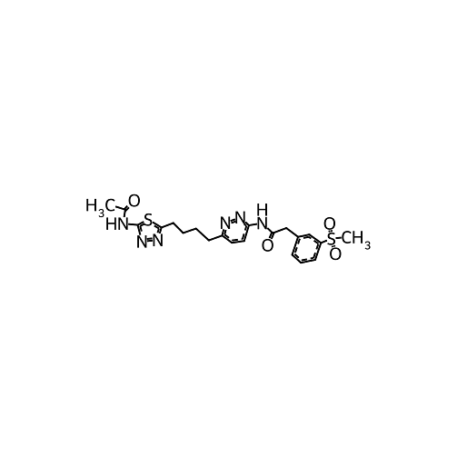 CC(=O)Nc1nnc(CCCCc2ccc(NC(=O)Cc3cccc(S(C)(=O)=O)c3)nn2)s1